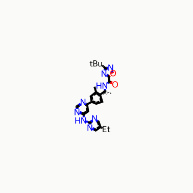 CCc1cnc(Nc2cc(-c3ccc([C@@H](C)NC(=O)c4nc(C(C)(C)C)no4)c(C)c3)ncn2)nc1